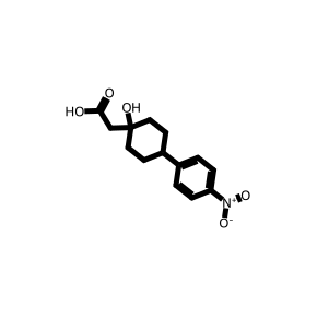 O=C(O)CC1(O)CCC(c2ccc([N+](=O)[O-])cc2)CC1